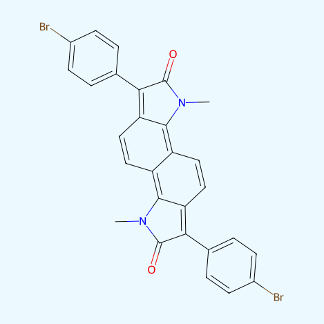 CN1C(=O)C(c2ccc(Br)cc2)=c2ccc3c4c(ccc3c21)=C(c1ccc(Br)cc1)C(=O)N4C